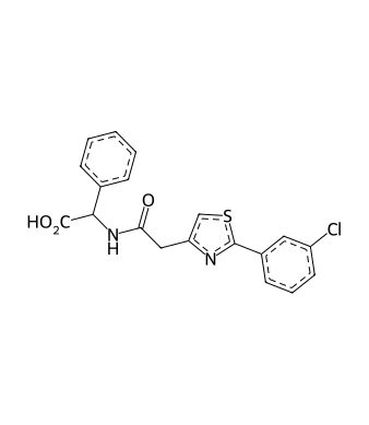 O=C(Cc1csc(-c2cccc(Cl)c2)n1)NC(C(=O)O)c1ccccc1